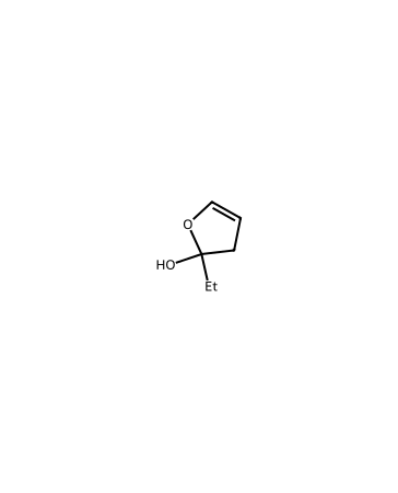 CCC1(O)CC=CO1